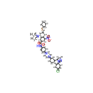 CN(C)CC[C@@H](CSc1ccccc1)Cc1ccc(S(=O)(=O)Nc2ccc(N3CCN(c4cccc(-c5ccnn5-c5ccc(Cl)cc5)c4)CC3)cc2)cc1[N+](=O)[O-]